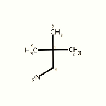 CC(C)(C)C[N]